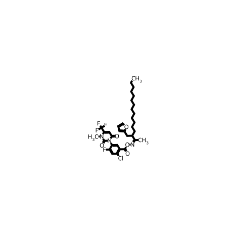 CCCCCCCCCCCCCC(Cc1ccco1)C(C)=NOC(=O)c1cc(-n2c(=O)cc(C(F)(F)F)n(C)c2=O)c(F)cc1Cl